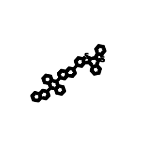 c1ccc2cc(-c3c4ccccc4c(-c4ccc5cc(-c6ccc7sc8c(c7c6)c6ccccc6c6sc7ccccc7c68)ccc5c4)c4ccccc34)ccc2c1